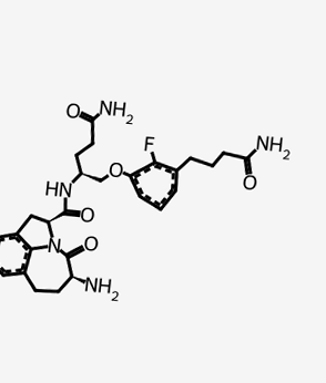 NC(=O)CCCc1cccc(OC[C@H](CCC(N)=O)NC(=O)[C@@H]2Cc3cccc4c3N2C(=O)[C@@H](N)CC4)c1F